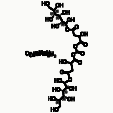 O=C(CC(O)C(=O)OC(=O)OC(=O)C(O)CC(=O)OC(O)[C@H](O)[C@@H](O)[C@H](O)[C@H](O)CO)OC(O)[C@H](O)[C@@H](O)[C@H](O)[C@H](O)CO.[Cu].[Cu].[Fe].[Fe].[MgH2].[MgH2]